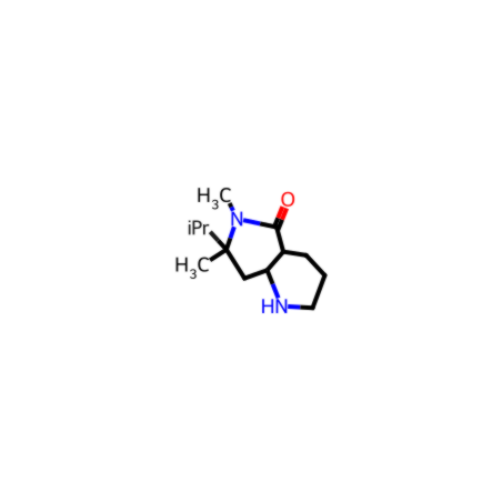 CC(C)C1(C)CC2NCCCC2C(=O)N1C